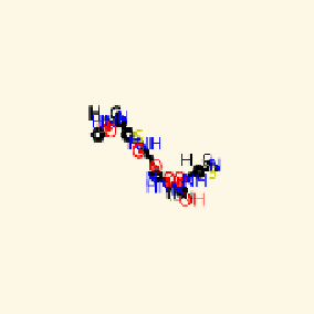 Cc1ncc(-c2ccc3nc(NC(=O)CCCCOc4cncc(C(=O)N[C@H](C(=O)N5C[C@H](O)C[C@H]5C(=O)NCc5ccc(-c6scnc6C)cc5)C(C)(C)C)c4)sc3c2)cc1NC(=O)OC1CCCCC1